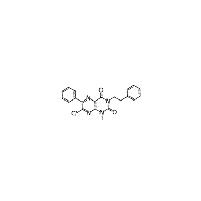 Cn1c(=O)n(CCc2ccccc2)c(=O)c2nc(-c3ccccc3)c(Cl)nc21